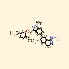 CCOC(=O)Cc1ccc(C)cc1OCc1nn(C(C)C)c2ccc(-c3ccc4ccnc(N)c4c3)cc12